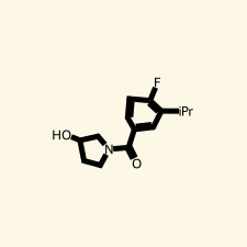 CC(C)c1cc(C(=O)N2CCC(O)C2)ccc1F